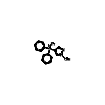 CC(C)[PH](c1ccccc1)(c1ccccc1)c1cnn(C(C)(C)C)c1